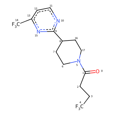 O=C(CCC(F)(F)F)N1CCC(c2nccc(C(F)(F)F)n2)CC1